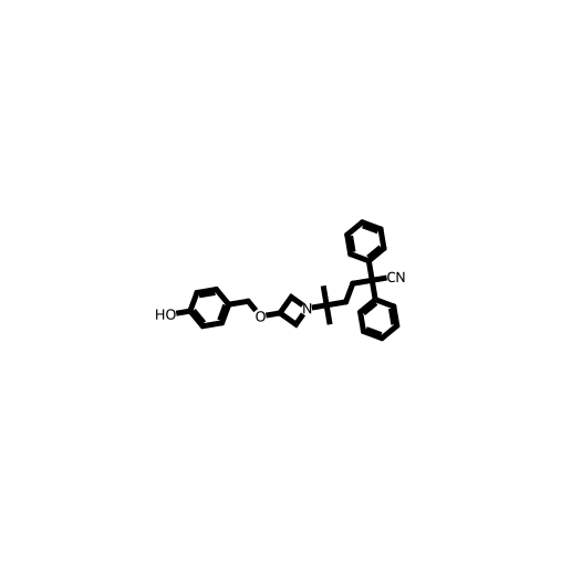 CC(C)(CCC(C#N)(c1ccccc1)c1ccccc1)N1CC(OCc2ccc(O)cc2)C1